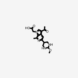 COC1NCC(c2cc3c(C(C)=O)cn(CC(=O)O)c3c(C)n2)CN1